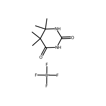 CC1(C)NC(=O)NC(=O)C1(C)C.F[B-](F)(F)F